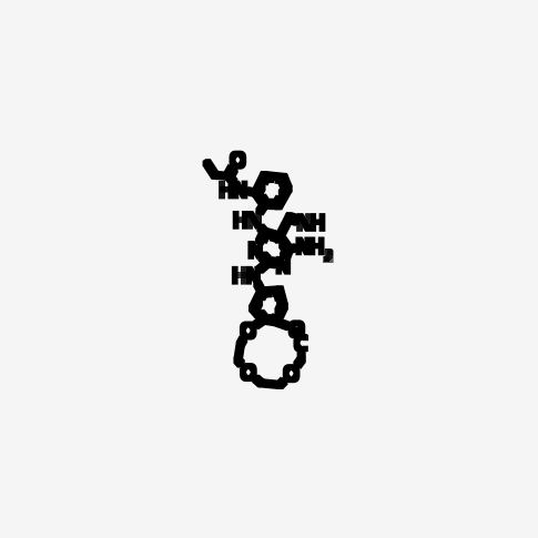 CCC(=O)Nc1ccccc1Nc1nc(Nc2ccc3c(c2)OCCOCCOCCO3)nc(N)c1C=N